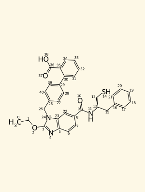 CCOc1nc2ccc(C(=O)N[C@@H](CS)Cc3ccccc3)cc2n1Cc1ccc(-c2ccccc2C(=O)O)cc1